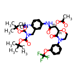 [C-]#[N+]c1ccc(NC(=O)[C@H](OC(C)=O)[C@H]2OCCN(c3cccc(OC(F)(F)F)c3)C2=O)cc1CN(C(=O)OC(C)(C)C)C(=O)OC(C)(C)C